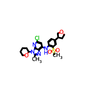 Cc1nc2c(Nc3ccc(C4CCOC4)cc3S(C)(=O)=O)cc(Cl)nc2n1C1CCCCO1